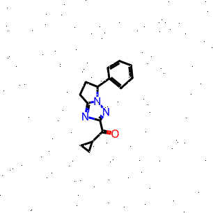 O=C(c1nc2n(n1)C(c1ccccc1)CC2)C1CC1